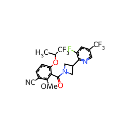 COc1c(C#N)ccc(O[C@@H](C)C(F)(F)F)c1C(=O)N1CC(c2ncc(C(F)(F)F)cc2F)C1